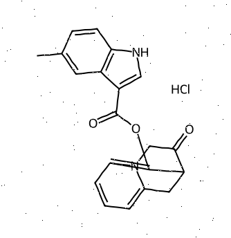 Cc1ccc2[nH]cc(C(=O)OC3=C4C=CC=C5CC3C(=O)CN54)c2c1.Cl